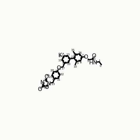 CCNC(=O)COc1cc(C)c(-c2cccc(COc3ccc(Cn4oc(=O)[n-]c4=O)cc3)c2)c(C)c1.[K+]